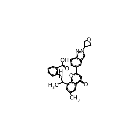 Cc1cc(C(C)Nc2ccccc2C(=O)O)c2oc(-c3ccc4nn(C5COC5)cc4c3)cc(=O)c2c1